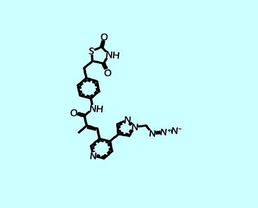 C/C(=C\c1cnccc1-c1cnn(CN=[N+]=[N-])c1)C(=O)Nc1ccc(CC2SC(=O)NC2=O)cc1